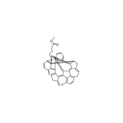 COC(=O)CCCC1(c2ccccc2)C23C=Cc4cc5c6c7c8c9c%10c%11c(c%12c9c6c4C%1221)C(=C3)CC%11=CCc1ccc(c-8c1-%10)CC=C7C5